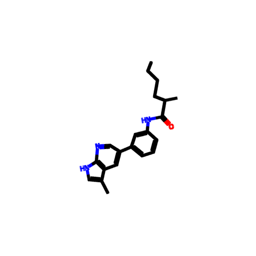 CCCCC(C)C(=O)Nc1cccc(-c2cnc3[nH]cc(C)c3c2)c1